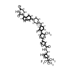 Cc1nc(-c2cc(C(=O)NCc3nc(C(C)(C)C(F)(F)F)n[nH]3)on2)ncc1-c1ccc(CN2CCN(c3ccc4c(N5CCC(=O)NC5=O)cnn4c3)CC2)cc1F